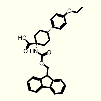 CCOc1ccc([C@H]2CC[C@](NC(=O)OCC3c4ccccc4-c4ccccc43)(C(=O)O)CC2)cc1